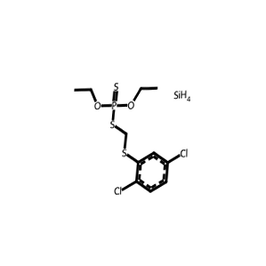 CCOP(=S)(OCC)SCSc1cc(Cl)ccc1Cl.[SiH4]